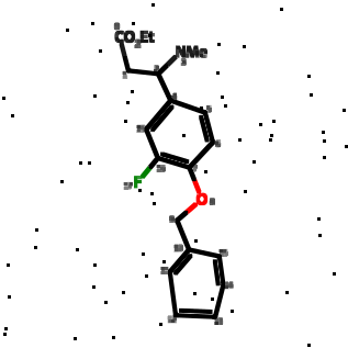 CCOC(=O)CC(NC)c1ccc(OCc2ccccc2)c(F)c1